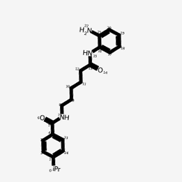 CC(C)c1ccc(C(=O)NCCCCCC(=O)Nc2ccccc2N)cc1